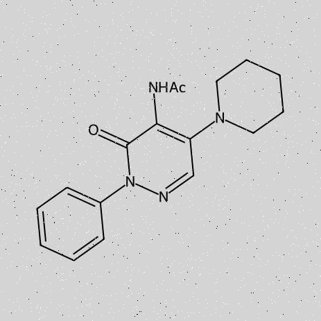 CC(=O)Nc1c(N2CCCCC2)cnn(-c2ccccc2)c1=O